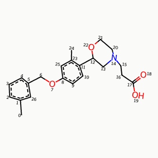 Cc1cccc(COc2ccc(C3CN(CCC(=O)O)CCO3)c(C)c2)c1